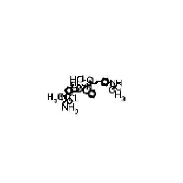 CC(=O)Nc1ccc(C=CC(=O)N2C(C)=C(OCc3c(Cl)ccc(N(C)C(=O)CN)c3Cl)Cc3ccccc32)cc1.Cl